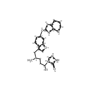 CCC(CCN(C)Cc1coc2cc(Oc3nc4ncccc4s3)ccc12)n1cn[nH]c1=O